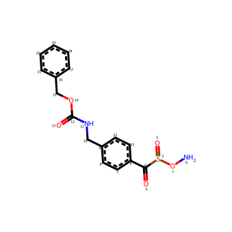 NOS(=O)C(=O)c1ccc(CNC(=O)OCc2ccccc2)cc1